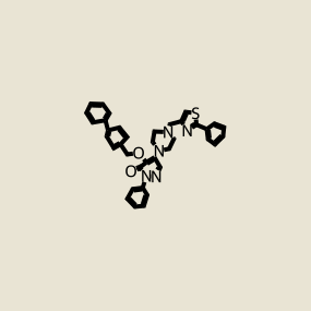 O=c1c(OCc2ccc(-c3ccccc3)cc2)c(N2CCN(Cc3csc(-c4ccccc4)n3)CC2)cnn1-c1ccccc1